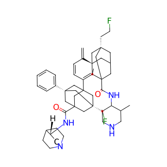 C=C(/C=C\C(=C/C)C12CC3(C(=O)N[C@@H]4CN5CCC4CC5)C[C@](CF)(C1)C[C@@](c1ccccc1)(C3)C2)[C@]12CC3CC(C(=O)NC4CCNCC4C)(C[C@](CCF)(C3)C1)C2